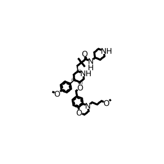 COCCCN1CCOc2ccc(CO[C@H]3CN[C@H](CC(C)(C)C(=O)NC4CCNCC4)C[C@@H]3c3ccc(OC)cc3)cc21